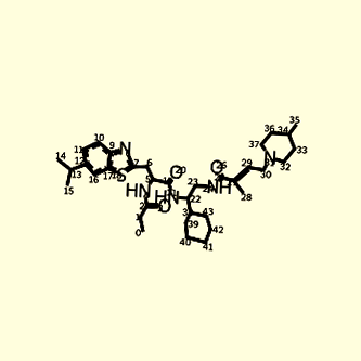 CCC(=O)NC(Cc1nc2ccc(C(C)C)cc2s1)C(=O)NC(CNC(=O)/C(C)=C/CN1CCC(C)CC1)C1CCCCC1